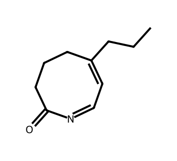 CCC/C1=C/C=N\C(=O)CCC1